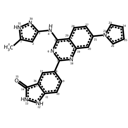 Cc1cc(Nc2nc(-c3ccc4[nH][nH]c(=O)c4c3)nc3cc(-n4cccc4)ccc23)n[nH]1